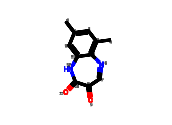 Cc1cc(C)c2ncc(=O)c(=O)[nH]c2c1